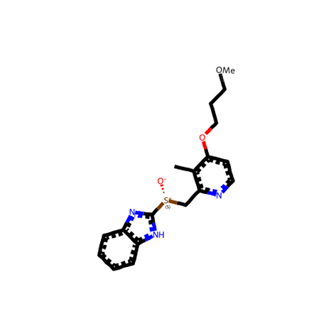 COCCCOc1ccnc(C[S@@+]([O-])c2nc3ccccc3[nH]2)c1C